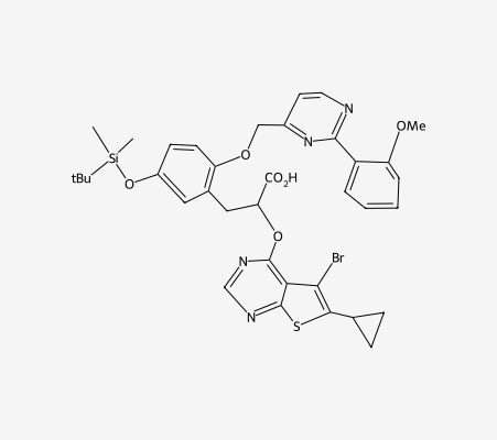 COc1ccccc1-c1nccc(COc2ccc(O[Si](C)(C)C(C)(C)C)cc2CC(Oc2ncnc3sc(C4CC4)c(Br)c23)C(=O)O)n1